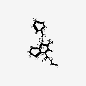 CCOC(=O)c1c(C)c(Br)c(OCc2ccccc2)c2ccccc12